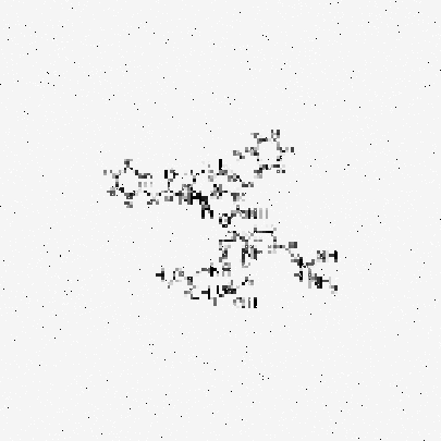 CC(C)CNC(=O)[C@H](CC(=O)O)NC(=O)[C@H](CCCNC(=N)N)NC(=O)[C@@H]1C[C@@H](Cc2ccccc2)[C@@H]2CCC(NC(=O)Cc3ccccc3)C(=O)N12